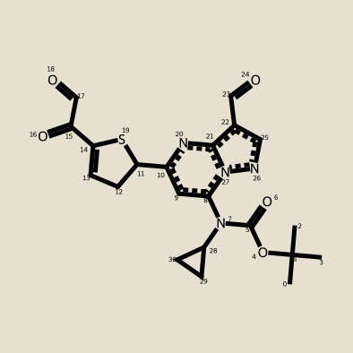 CC(C)(C)OC(=O)N(c1cc(C2CC=C(C(=O)C=O)S2)nc2c(C=O)cnn12)C1CC1